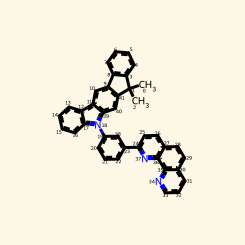 CC1(C)c2ccccc2-c2cc3c4ccccc4n(-c4cccc(-c5ccc6ccc7cccnc7c6n5)c4)c3cc21